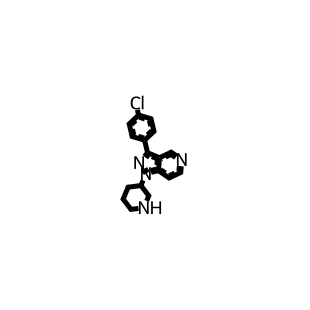 Clc1ccc(-c2nn(C3CCCNC3)c3ccncc23)cc1